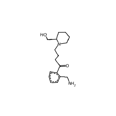 NCc1ccccc1C(=O)CCCN1CCCCC1CO